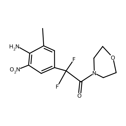 Cc1cc(C(F)(F)C(=O)N2CCOCC2)cc([N+](=O)[O-])c1N